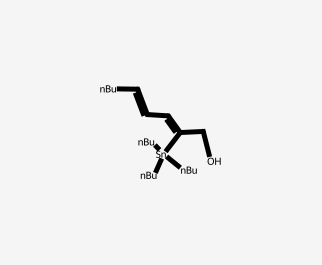 CCCCC=CC=[C](CO)[Sn]([CH2]CCC)([CH2]CCC)[CH2]CCC